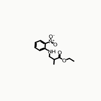 CCOC(=O)C(C)CNc1ccccc1[N+](=O)[O-]